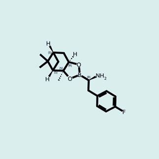 CC1(C)[C@@H]2C[C@H]3OB([C@@H](N)Cc4ccc(F)cc4)O[C@@]3(C)[C@H]1C2